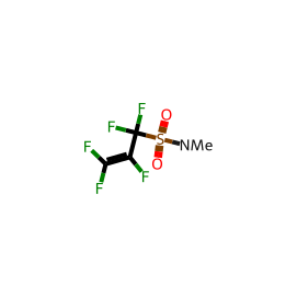 CNS(=O)(=O)C(F)(F)C(F)=C(F)F